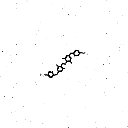 Cc1cc(Cc2ccc(N)cc2)cc(C)c1CCc1c(C)cc(Cc2ccc(N)cc2)cc1C